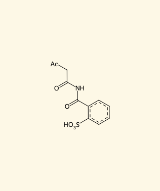 CC(=O)CC(=O)NC(=O)c1ccccc1S(=O)(=O)O